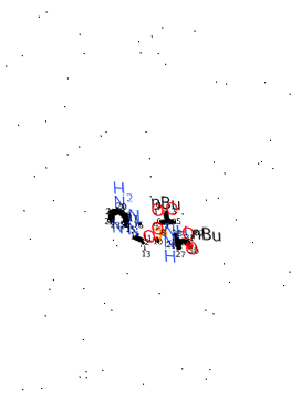 CCCCOC(=O)C(C)(C)NP(=O)(CO[C@H](C)Cn1cnc2c(N)ccnc21)NC(C)(C)C(=O)OCCCC